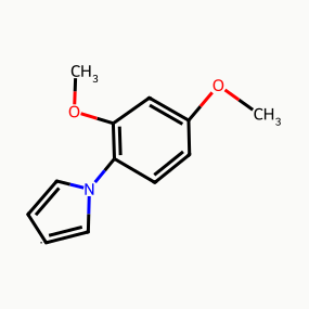 COc1ccc(-n2c[c]cc2)c(OC)c1